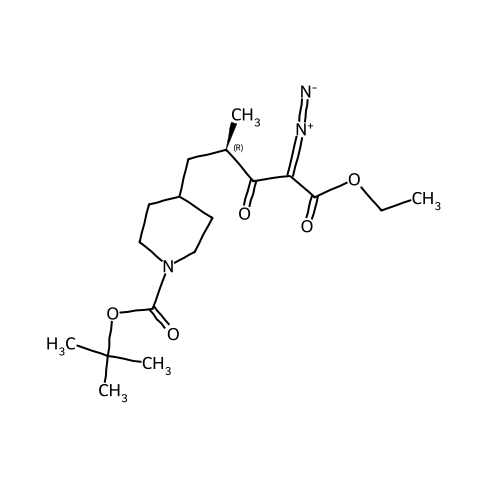 CCOC(=O)C(=[N+]=[N-])C(=O)[C@H](C)CC1CCN(C(=O)OC(C)(C)C)CC1